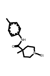 CCN1CCC(C)(C(=O)Nc2ccc(C)cc2)CC1